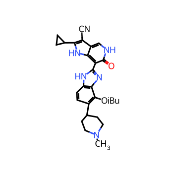 CC(C)COc1c(C2CCN(C)CC2)ccc2[nH]c(-c3c(=O)[nH]cc4c(C#N)c(C5CC5)[nH]c34)nc12